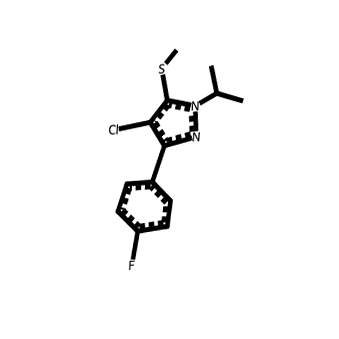 CSc1c(Cl)c(-c2ccc(F)cc2)nn1C(C)C